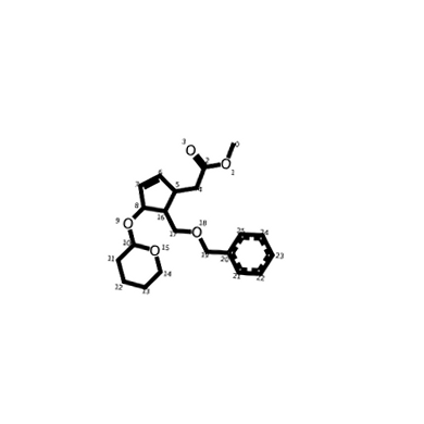 COC(=O)CC1C=CC(OC2CCCCO2)C1COCc1ccccc1